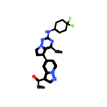 CNC(=O)c1cnn2ccc(-c3ccn4nc(NC5CCC(F)(F)CC5)nc(OC)c34)cc12